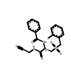 N#CCNC(=O)[C@H](CS(=O)(=O)Cc1ccccc1I)NC(=O)c1ccccc1